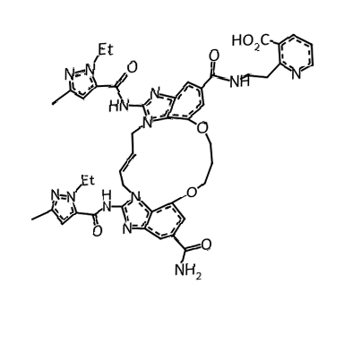 CCn1nc(C)cc1C(=O)Nc1nc2cc(C(N)=O)cc3c2n1C/C=C/Cn1c(NC(=O)c2cc(C)nn2CC)nc2cc(C(=O)NCCc4ncccc4C(=O)O)cc(c21)OCCCO3